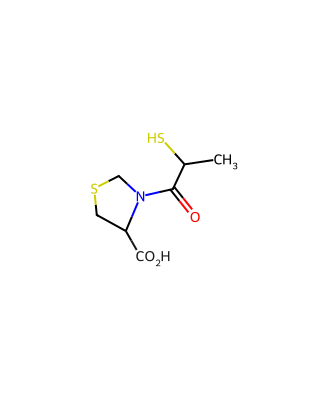 CC(S)C(=O)N1CSCC1C(=O)O